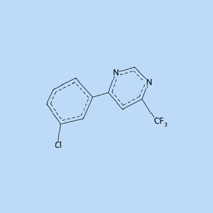 FC(F)(F)c1cc(-c2cccc(Cl)c2)ncn1